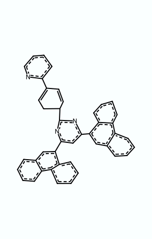 C1=CC(c2nc(-c3cc4ccccc4c4ccccc34)cc(-c3cc4ccccc4c4ccccc34)n2)CC=C1c1ccccn1